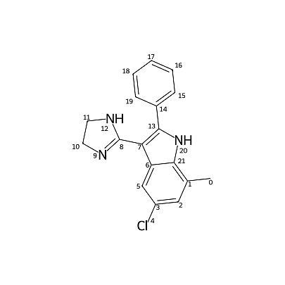 Cc1cc(Cl)cc2c(C3=NCCN3)c(-c3ccccc3)[nH]c12